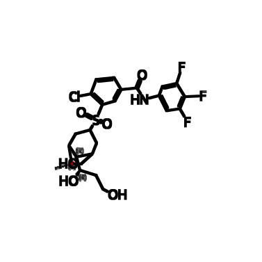 C[C@H]1CC2CC(S(=O)(=O)c3cc(C(=O)Nc4cc(F)c(F)c(F)c4)ccc3Cl)CC1[C@@]2(O)[C@H](O)CCO